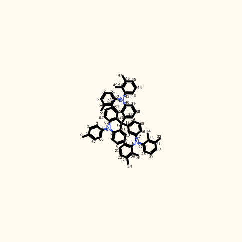 Cc1ccc(N2c3ccccc3C(c3cccc(N(c4cccc(C)c4C)c4cccc(C)c4C)c3)(c3cccc(N(c4cccc(C)c4C)c4cccc(C)c4C)c3)c3cc(C)ccc32)cc1